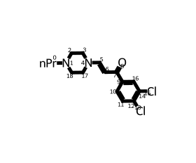 CCCN1CCN(C=CC(=O)c2ccc(Cl)c(Cl)c2)CC1